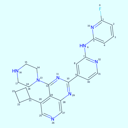 Fc1cccc(Nc2cc(-c3nc(N4CCNCC4)c4c(C5CCC5)cncc4n3)ccn2)n1